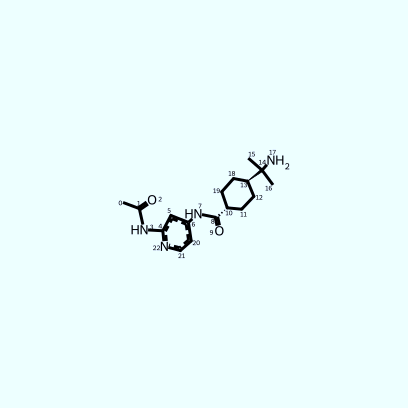 CC(=O)Nc1cc(NC(=O)[C@H]2CC[C@H](C(C)(C)N)CC2)ccn1